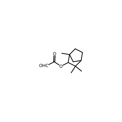 CC12CCC(C1)C(C)(C)C2OC(=O)C=O